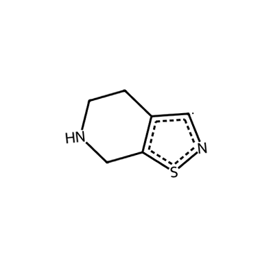 [c]1nsc2c1CCNC2